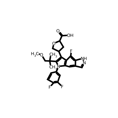 COCC(C)(C)c1c(C2COC(C(=O)O)C2)c2c(F)c3[nH]ncc3cc2n1-c1ccc(F)c(F)c1